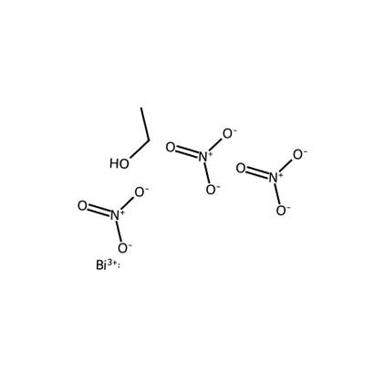 CCO.O=[N+]([O-])[O-].O=[N+]([O-])[O-].O=[N+]([O-])[O-].[Bi+3]